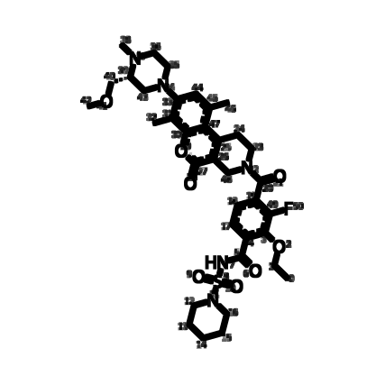 CCOc1c(C(=O)NS(=O)(=O)N2CCCCC2)ccc(C(=O)N2CCc3c(c(=O)oc4c(C)c(N5CCN(C)[C@@H](COC)C5)cc(C)c34)C2)c1F